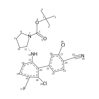 CC(C)(C)OC(=O)N1CCC[C@H]1Nc1ccc(F)c(Cl)c1-c1ccc(C#N)c(Cl)c1